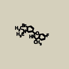 CC(NC(=O)c1ccc(Br)c(N(C)C)c1)c1ccc(F)cc1